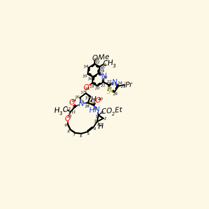 CCOC(=O)[C@@]12C[C@H]1/C=C\CCCCO[C@@H](C)C(=O)N1C[C@H](Oc3cc(-c4nc(C(C)C)cs4)nc4c(C)c(OC)ccc34)C[C@H]1C(=O)N2